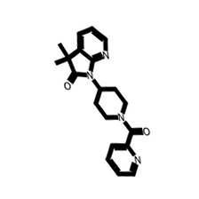 CC1(C)C(=O)N(C2CCN(C(=O)c3ccccn3)CC2)c2ncccc21